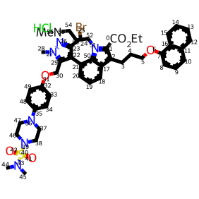 CCOC(=O)c1c(CCCOc2cccc3ccccc23)c2cccc(-c3c(CBr)nn(C)c3COc3ccc(N4CCN(S(=O)(=O)N(C)C)CC4)cc3)c2n1CCCNC.Cl